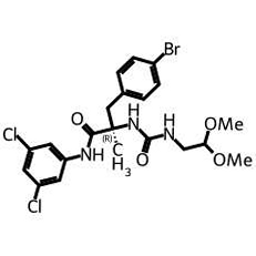 COC(CNC(=O)N[C@](C)(Cc1ccc(Br)cc1)C(=O)Nc1cc(Cl)cc(Cl)c1)OC